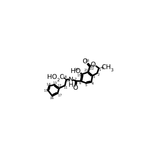 C[C@@H]1Cc2ccc(C(=O)N[C@@H](Cc3ccccc3)C(=O)O)c(O)c2C(=O)O1